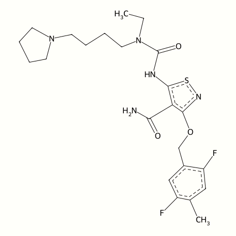 CCN(CCCCN1CCCC1)C(=O)Nc1snc(OCc2cc(F)c(C)cc2F)c1C(N)=O